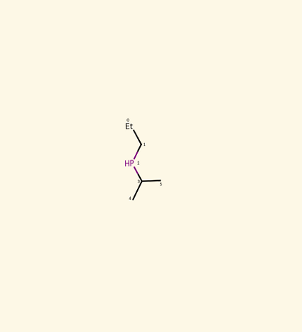 CCCPC(C)C